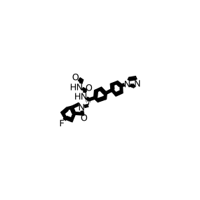 O=CNC(=O)N[C@@H](CN1Cc2ccc(F)cc2C1=O)c1ccc(-c2ccc(-n3ccnc3)cc2)cc1